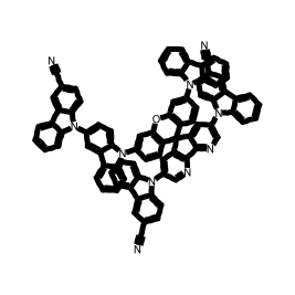 N#Cc1ccc2c(c1)c1ccccc1n2-c1cnc2c(c1)C1(c3ccc(-n4c5ccccc5c5ccccc54)cc3Oc3cc(-n4c5ccccc5c5cc(-n6c7ccccc7c7cc(C#N)ccc76)ccc54)ccc31)c1cc(-n3c4ccccc4c4cc(C#N)ccc43)cnc1-2